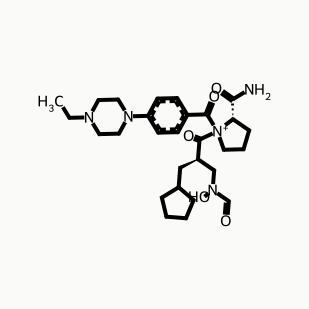 CCN1CCN(c2ccc(C(=O)[N+]3(C(=O)[C@H](CC4CCCC4)CN(O)C=O)CCC[C@H]3C(N)=O)cc2)CC1